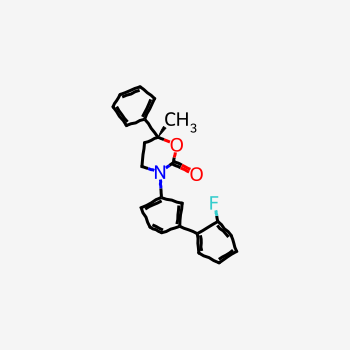 C[C@]1(c2ccccc2)CCN(c2cccc(-c3ccccc3F)c2)C(=O)O1